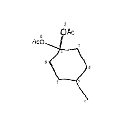 CC(=O)OC1(OC(C)=O)CCC(C)CC1